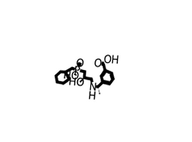 C[C@H](NC[C@@H](O)CP(=O)(O)CC1CCCCC1)c1cccc(C(=O)O)c1